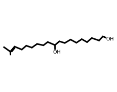 CC(C)=CCCCCCCC(O)CCCCCCCCCO